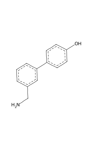 NCc1cccc(-c2ccc(O)cc2)c1